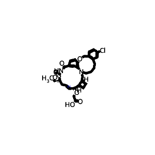 CC[C@@H]1C/C=C/[C@H](OCC(=O)O)[C@@H]2CC[C@H]2CN2CCCCc3cc(Cl)ccc3COc3ccc(cc32)C(=O)NS1(=O)=O